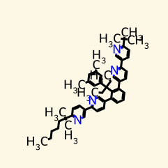 CCCCCC(C)(C)c1ccc(-c2ccc(-c3cccc(-c4ccc(-c5ccc(C(C)(C)C)nc5)nc4)c3C(CC)(CC)c3cc(C)cc(C)c3)cn2)cn1